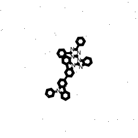 c1ccc(-c2nc(-c3ccccc3)nc(-n3c(-n4c5ccccc5c5cc(-c6ccc7c(c6)c6ccccc6n7-c6ccccc6)ccc54)nc4ccccc43)n2)cc1